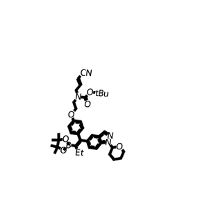 CC/C(B1OC(C)(C)C(C)(C)O1)=C(/c1ccc(OCCN(C/C=C/C#N)C(=O)OC(C)(C)C)cc1)c1ccc2c(cnn2C2CCCCO2)c1